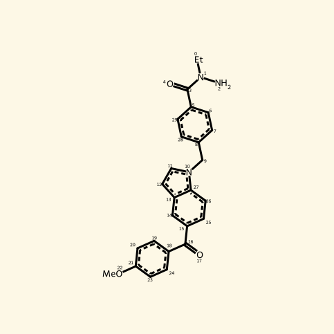 CCN(N)C(=O)c1ccc(Cn2ccc3cc(C(=O)c4ccc(OC)cc4)ccc32)cc1